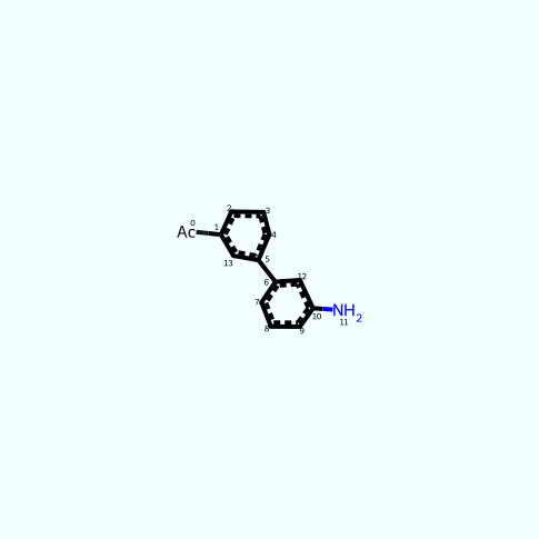 CC(=O)c1cccc(-c2cccc(N)c2)c1